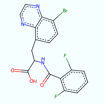 O=C(NC(Cc1ccc(Br)c2nccnc12)C(=O)O)c1c(F)cccc1F